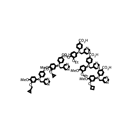 CCOc1ccc(N(Cc2cncnc2)c2ccc(C(=O)O)cc2)cc1OCC.COc1ccc(N(Cc2cncnc2)c2ccc(C(=O)O)cc2)cc1OC(C)C.COc1ccc(N(Cc2cncnc2)c2ccc(C(=O)O)cc2)cc1OC1CC1.COc1ccc(N(Cc2cncnc2)c2ccc(C(=O)O)cc2)cc1OC1CCC1.COc1ccc(N(Cc2cncnc2)c2ccc(C(=O)O)cc2)cc1OCC1CC1